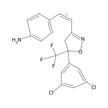 Nc1ccc(/C=C\C2=NOC(c3cc(Cl)cc(Cl)c3)(C(F)(F)F)C2)cc1